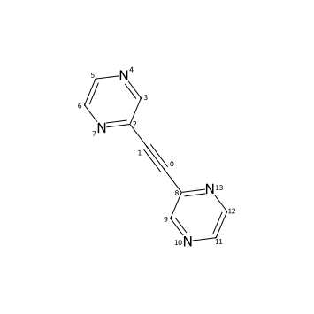 C(#Cc1cnccn1)c1cnccn1